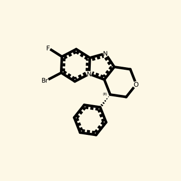 Fc1cc2nc3c(n2cc1Br)[C@@H](c1ccccc1)COC3